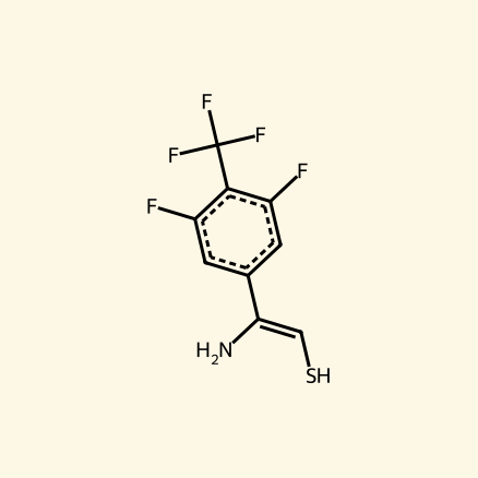 N/C(=C\S)c1cc(F)c(C(F)(F)F)c(F)c1